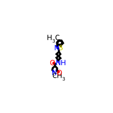 Cc1ccc2sc(C3CC4(CC(NC(=O)C5CCN(C)C(=O)C5)C4)C3)nc2c1